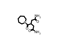 NC(=O)CC(CC(N)=O)C(=O)N1CCCCCC1